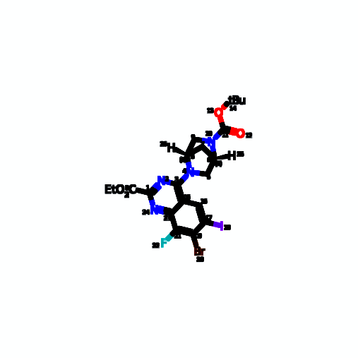 CCOC(=O)c1nc(N2C[C@@H]3C[C@H]2CN3C(=O)OC(C)(C)C)c2cc(I)c(Br)c(F)c2n1